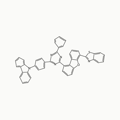 c1ccc(-c2nc(-c3ccc(-n4c5ccccc5c5ccccc54)cc3)nc(-c3cccc4oc5c(-c6nc7ccccc7s6)cccc5c34)n2)cc1